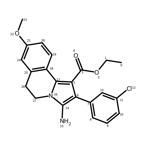 CCOC(=O)c1c(-c2cccc(Cl)c2)c(N)n2c1-c1ccc(OC)cc1CC2